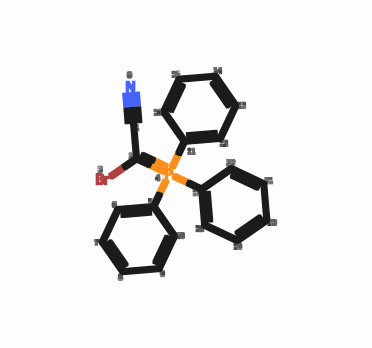 N#CC(Br)=P(c1ccccc1)(c1ccccc1)c1ccccc1